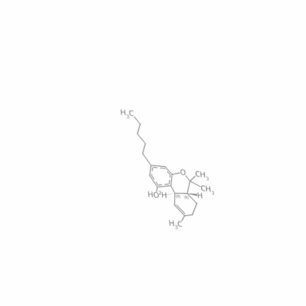 [2H][C@@]12C=C(C)CC[C@H]1C(C)(C)Oc1cc(CCCCC)cc(O)c12